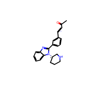 CC(=O)/C=C/c1cccc(-c2nc3ccccc3n2[C@H]2CCCNC2)c1